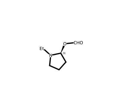 CCN1CCC[C@@H]1OC=O